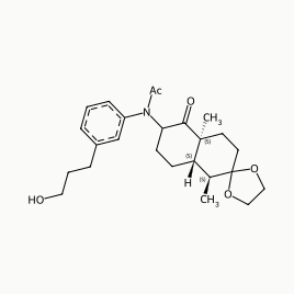 CC(=O)N(c1cccc(CCCO)c1)C1CC[C@H]2[C@H](C)C3(CC[C@]2(C)C1=O)OCCO3